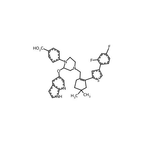 CC1(C)CCC(CN2CCN(c3ccc(C(=O)O)cc3)C(Oc3cnc4[nH]ccc4c3)C2)=C(c2cc(-c3ccc(F)cc3F)cs2)C1